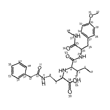 CCC(C)C(NC(CCNC(=O)Cc1ccccc1)C(=O)O)C(=O)NC(Cc1ccc(OC)cc1)C(=O)NC